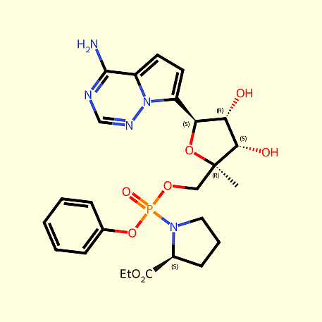 CCOC(=O)[C@@H]1CCCN1P(=O)(OC[C@@]1(C)O[C@@H](c2ccc3c(N)ncnn23)[C@H](O)[C@@H]1O)Oc1ccccc1